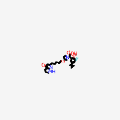 COc1cc(CCCCCO[C@@H]2CCN([C@H](C(=O)O)c3cc(C4(C)CC4)cc(F)c3OC)C2)nc2c1CCCN2